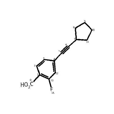 O=C(O)c1ccc(C#CC2CCCC2)cc1F